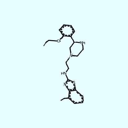 CCOc1ccccc1C1CN(CCNc2nc3c(C)cccc3s2)CCN1